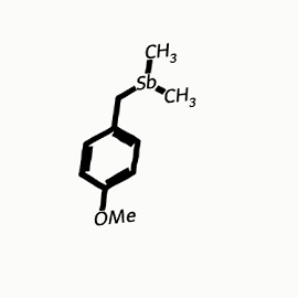 COc1ccc([CH2][Sb]([CH3])[CH3])cc1